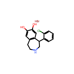 Br.Oc1cc2c(cc1O)C(c1ccccc1Cl)CNCC2